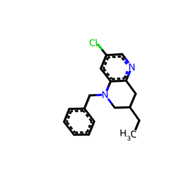 CCC1Cc2ncc(Cl)cc2N(Cc2ccccc2)C1